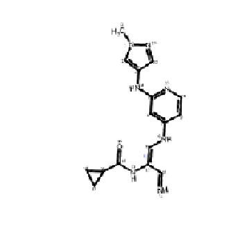 Cn1cc(Nc2cc(N/C=C(\C=N)NC(=O)C3CC3)ccn2)cn1